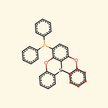 c1ccc(P(c2ccccc2)c2ccc3c4c2Oc2ccccc2[Si]4(c2ccccc2)c2ccccc2O3)cc1